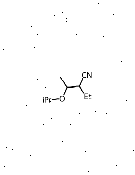 CCC(C#N)C(C)OC(C)C